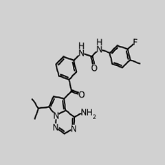 Cc1ccc(NC(=O)Nc2cccc(C(=O)c3cc(C(C)C)n4ncnc(N)c34)c2)cc1F